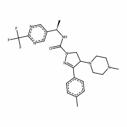 Cc1ccc(C2=NN(C(=O)N[C@H](C)c3cnc(C(F)(F)F)nc3)CC2N2CCN(C)CC2)cc1